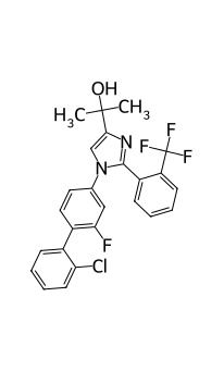 CC(C)(O)c1cn(-c2ccc(-c3ccccc3Cl)c(F)c2)c(-c2ccccc2C(F)(F)F)n1